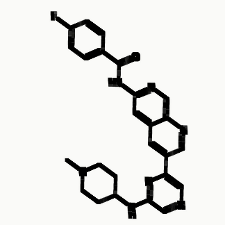 CN1CCC(Nc2cncc(-c3cnc4cnc(NC(=O)c5ccc(F)cc5)cc4c3)n2)CC1